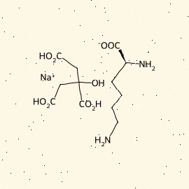 NCCCC[C@H](N)C(=O)[O-].O=C(O)CC(O)(CC(=O)O)C(=O)O.[Na+]